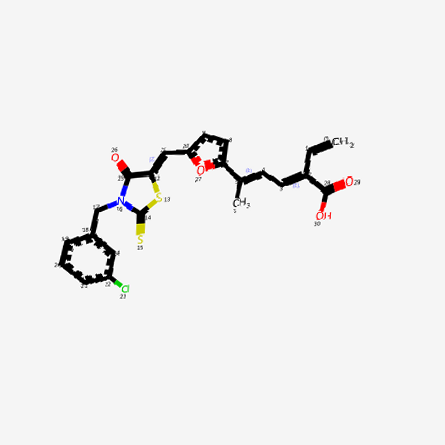 C=C/C(=C\C=C(/C)c1ccc(/C=C2\SC(=S)N(Cc3cccc(Cl)c3)C2=O)o1)C(=O)O